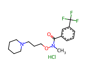 CN(OCCCN1CCCCC1)C(=O)c1cccc(C(F)(F)F)c1.Cl